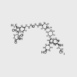 Cn1c(=O)n([C@H]2CCC(=O)NC2=O)c2ccc(CCCOCCOC3CCN(C[C@H]4CC[C@@H](c5cn([C@H]6CC[C@H](O)CC6)c6nc(NCCC(F)(F)F)ncc65)CC4)CC3)cc21